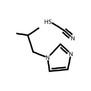 CC(C)Cn1ccnc1.N#CS